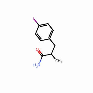 CC(Cc1ccc(I)cc1)C(N)=O